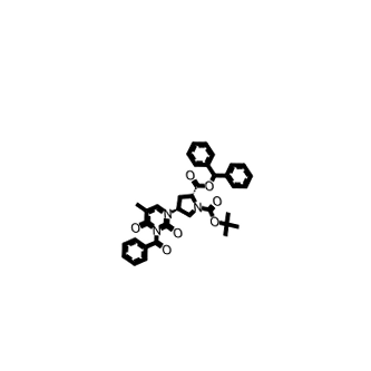 Cc1cn([C@H]2C[C@H](C(=O)OC(c3ccccc3)c3ccccc3)N(C(=O)OC(C)(C)C)C2)c(=O)n(C(=O)c2ccccc2)c1=O